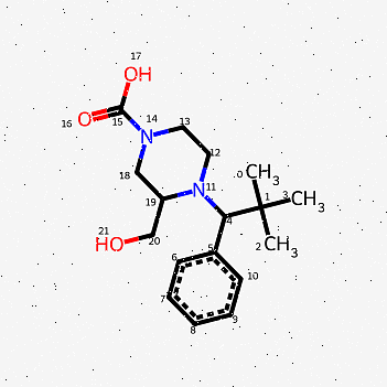 CC(C)(C)C(c1ccccc1)N1CCN(C(=O)O)CC1CO